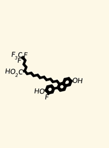 O=C(O)C(CCCCCCCCCCc1c(-c2ccc(O)c(F)c2)ccc2cc(O)ccc12)CCCC(F)(F)C(F)(F)F